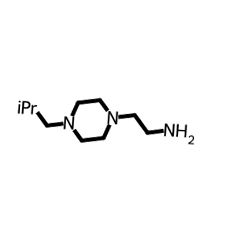 CC(C)CN1CCN(CCN)CC1